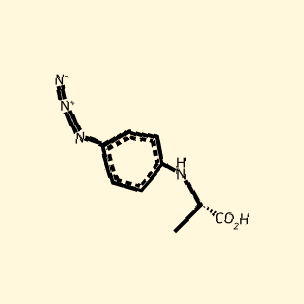 C[C@H](Nc1ccc(N=[N+]=[N-])cc1)C(=O)O